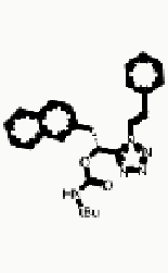 CC(C)(C)NC(=O)O[C@H](Cc1ccc2ccccc2c1)c1nnnn1C=Cc1ccccc1